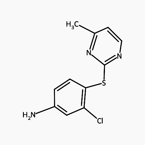 Cc1ccnc(Sc2ccc(N)cc2Cl)n1